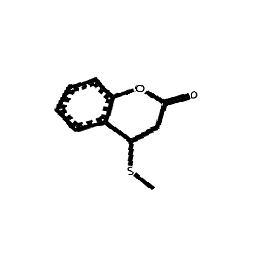 CSC1CC(=O)Oc2ccccc21